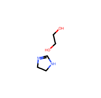 C1=NCCN1.OCCO